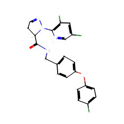 O=C(NCc1ccc(Oc2ccc(F)cc2)cc1)C1CC=NN1c1ncc(Cl)cc1Cl